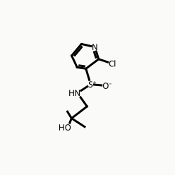 CC(C)(O)CN[S+]([O-])c1cccnc1Cl